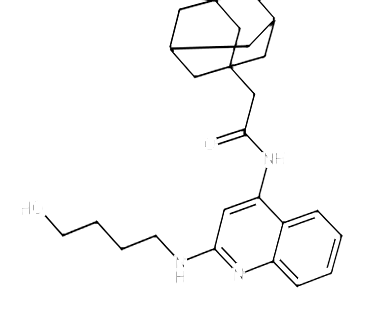 O=C(CC12CC3CC(CC(C3)C1)C2)Nc1cc(NCCCCO)nc2ccccc12